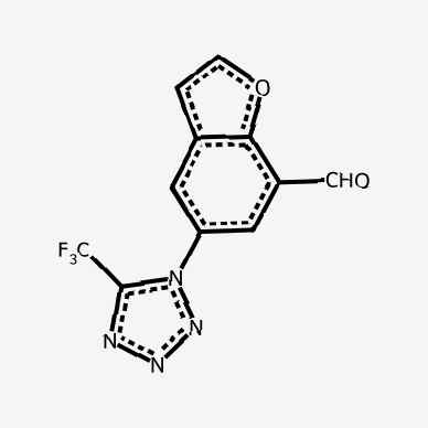 O=Cc1cc(-n2nnnc2C(F)(F)F)cc2ccoc12